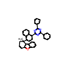 CC1(c2ccc(-c3nc(-c4ccccc4)nc(-c4ccccc4)n3)c3ccccc23)CC=Cc2oc3ccccc3c21